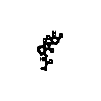 O=C1CC[C@H](N2C(=O)c3cccc(CNC(=O)C4CC4)c3C2=O)C(=O)N1